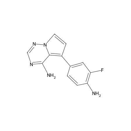 Nc1ccc(-c2ccn3ncnc(N)c23)cc1F